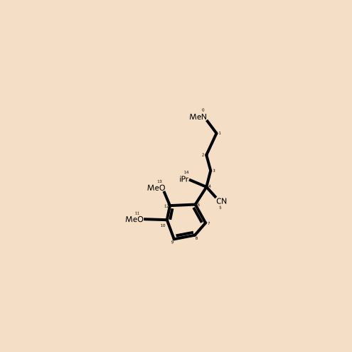 CNCCCC(C#N)(c1cccc(OC)c1OC)C(C)C